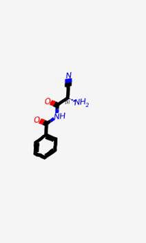 N#C[C@H](N)C(=O)NC(=O)c1ccccc1